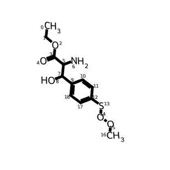 CCOC(=O)C(N)C(O)c1ccc(SOOC)cc1